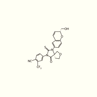 N#Cc1ccc(N2C(=O)[C@@]3(CCOC3)N(c3ccc4c(c3)C=C[C@H](CO)O4)C2=S)cc1C(F)(F)F